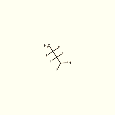 CC(F)(F)C(F)(F)C(F)S